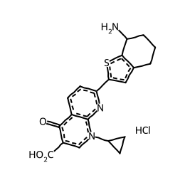 Cl.NC1CCCc2cc(-c3ccc4c(=O)c(C(=O)O)cn(C5CC5)c4n3)sc21